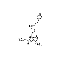 Cc1csc2c(N3CCC(NCCCc4ccncc4)CC3)nc(NCCO)nc12